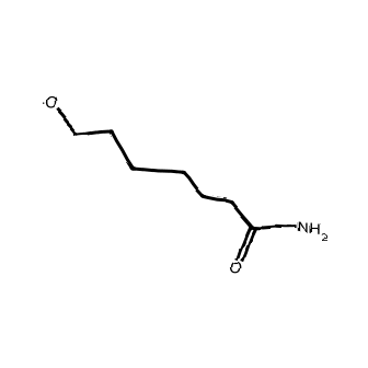 NC(=O)CCCCCC[O]